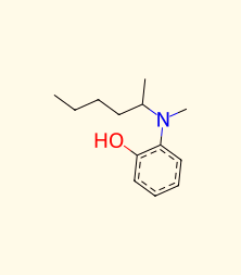 CCCCC(C)N(C)c1ccccc1O